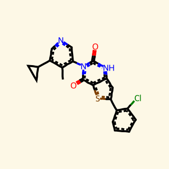 Cc1c(C2CC2)cncc1-n1c(=O)[nH]c2cc(-c3ccccc3Cl)sc2c1=O